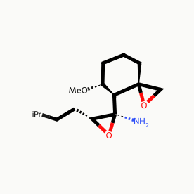 CO[C@@H]1CCC[C@]2(CO2)[C@H]1[C@@]1(N)O[C@@H]1CCC(C)C